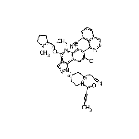 CC#CC(=O)N1CC[C@H](n2ncc3c(O[C@@H](C)[C@@H]4CCCN4C)nc4c(F)c(-c5nccc6cccc(C#N)c56)c(Cl)cc4c32)C[C@H]1CC#N